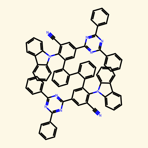 N#Cc1cc(-c2nc(-c3ccccc3)nc(-c3ccccc3)n2)cc(-c2ccccc2-c2ccccc2-c2cc(-c3nc(-c4ccccc4)nc(-c4ccccc4)n3)cc(C#N)c2-n2c3ccccc3c3ccccc32)c1-n1c2ccccc2c2ccccc21